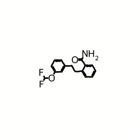 NC(=O)c1ccccc1CCc1cccc(OC(F)F)c1